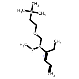 C=C/C=C(\CC)N(COCC[Si](C)(C)C)NC